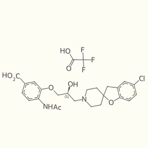 CC(=O)Nc1ccc(C(=O)O)cc1OC[C@@H](O)CN1CCC2(CC1)Cc1cc(Cl)ccc1O2.O=C(O)C(F)(F)F